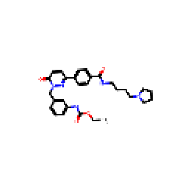 CCOC(=O)Nc1cccc(Cn2nc(-c3ccc(C(=O)NCCCCN4CCCC4)cc3)ccc2=O)c1